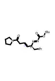 CC(C)C[C@@H](/C=C/CC(=O)N1CCCC1)N=NC(=O)OC(C)(C)C